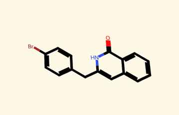 O=c1[nH]c(Cc2ccc(Br)cc2)cc2ccccc12